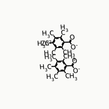 Cc1c(C)c(C)c(C(=O)[O-])c(C)c1C.Cc1c(C)c(C)c(C(=O)[O-])c(C)c1C.[Zn+2]